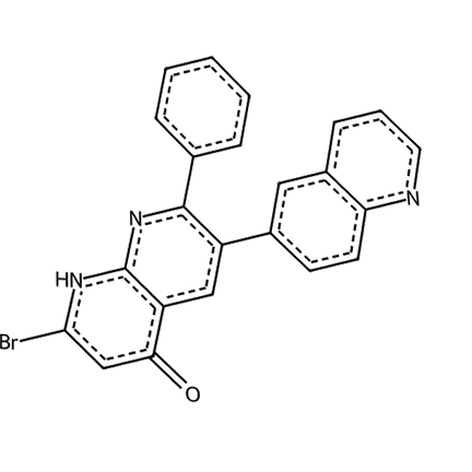 O=c1cc(Br)[nH]c2nc(-c3ccccc3)c(-c3ccc4ncccc4c3)cc12